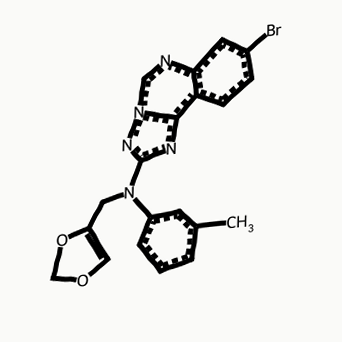 Cc1cccc(N(CC2=COCO2)c2nc3c4ccc(Br)cc4ncn3n2)c1